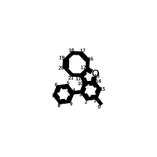 Cc1cc(-c2ccccc2)c2c3c(oc2c1)/C=C\CC#CC3